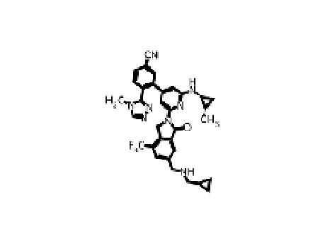 C[C@H]1C[C@@H]1Nc1cc(-c2cc(C#N)ccc2-c2nncn2C)cc(N2Cc3c(cc(CNCC4CC4)cc3C(F)(F)F)C2=O)n1